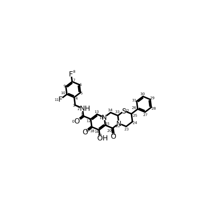 O=C(NCc1ccc(F)cc1F)c1cn2c(c(O)c1=O)C(=O)N1CCC(c3ccccc3)SC1C2